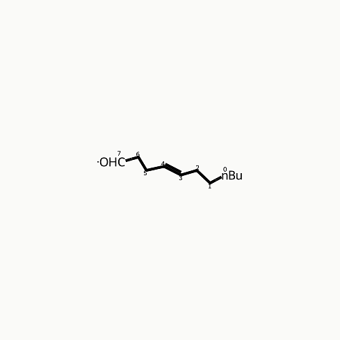 CCCCCCC=CCC[C]=O